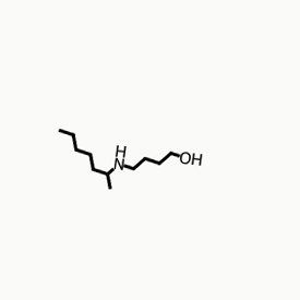 CCCCCC(C)NCCCCO